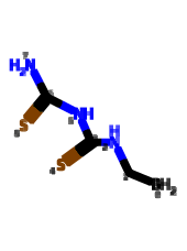 BCNC(=S)NC(N)=S